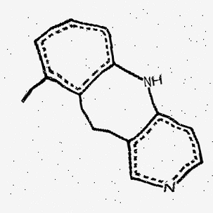 Cc1cccc2c1Cc1cnccc1N2